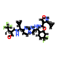 C[C@@H](C(C=O)CN[C@H](c1ccn2cc([C@@H](NC(=O)c3conc3C3CC3)C3CCC(F)(F)CC3)nc2n1)C1CC1)C(F)(F)F